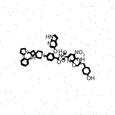 CC(C)c1ccccc1[C@@H]1CCCN1C1CC2(CCN(c3ccc(C(=O)NS(=O)(=O)c4cc([N+](=O)[O-])c5c(n4)OC[C@H](CC4CCC(O)CC4)N5)c(Oc4cnc5[nH]ccc5c4)c3)CC2)C1